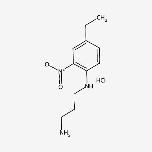 CCc1ccc(NCCCN)c([N+](=O)[O-])c1.Cl